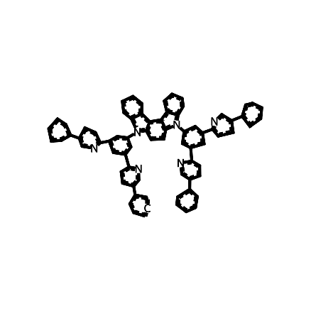 c1ccc(-c2ccc(-c3cc(-c4ccc(-c5ccccc5)cn4)cc(-n4c5ccccc5c5c6c7ccccc7n(-c7cc(-c8ccc(-c9ccccc9)cn8)cc(-c8ccc(-c9ccccc9)cn8)c7)c6ccc54)c3)nc2)cc1